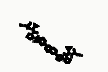 COC(=O)N[C@H](C(=O)N1CCC[C@H]1c1ncc(-c2ccc3cc(-c4ccc5nc([C@@H]6CCCN6C(=O)[C@@H](NC(=O)OC)C6CC6)[nH]c5c4)ncc3c2)[nH]1)C1CC1